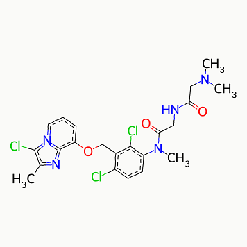 Cc1nc2c(OCc3c(Cl)ccc(N(C)C(=O)CNC(=O)CN(C)C)c3Cl)cccn2c1Cl